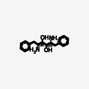 N[C@H](Cc1ccccc1)[C@@H](O)[C@H](O)[C@H](N)Cc1ccccc1